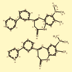 CN(C)c1cc2c(cc1C(F)(F)F)NC(=O)CC(c1cccc(-c3cccnc3)c1)=N2.CN(C)c1cc2c(cc1C(F)(F)F)NC(=O)CC(c1cccc(-c3ccncc3)c1)=N2